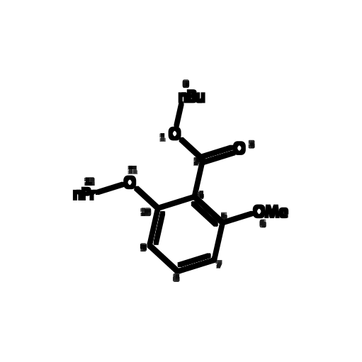 CCCCOC(=O)c1c(OC)cccc1OCCC